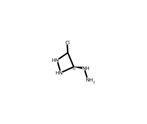 NN[C@H]1NNC1Cl